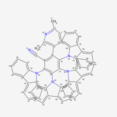 Cc1ccc(-c2c(C#N)c(-n3c4ccccc4c4ccccc43)c(-n3c4ccccc4c4ccccc43)c(-n3c4ccccc4c4ccccc43)c2-n2c3ccccc3c3ccccc32)c(C)n1